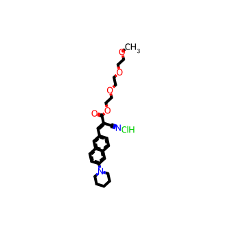 COCCOCCOCCOC(=O)/C(C#N)=C/c1ccc2cc(N3CCCCC3)ccc2c1.Cl